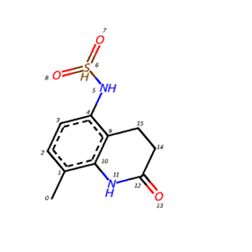 Cc1ccc(N[SH](=O)=O)c2c1NC(=O)CC2